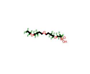 O=S(=O)(O)C(F)(F)C(F)(F)OC(F)(F)C(F)(F)CCOCCC(F)(F)C(F)(F)OC(F)(F)C(F)F